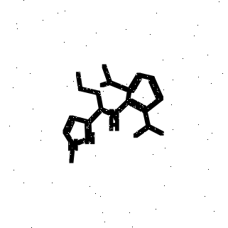 CCCC(Nc1c(C(C)C)cccc1C(C)C)c1ccn(C)n1